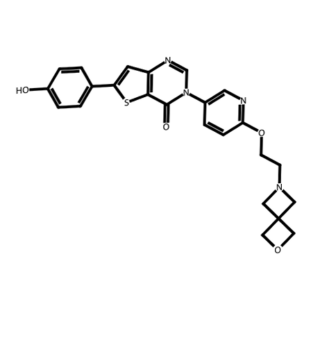 O=c1c2sc(-c3ccc(O)cc3)cc2ncn1-c1ccc(OCCN2CC3(COC3)C2)nc1